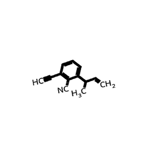 C#Cc1cccc([C](C)C=C)c1C#N